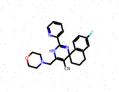 N#CC1=C(CN2CCOCC2)NC(c2ccccn2)=NC12CCCc1cc(F)ccc12